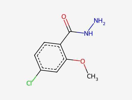 COc1cc(Cl)ccc1C(=O)NN